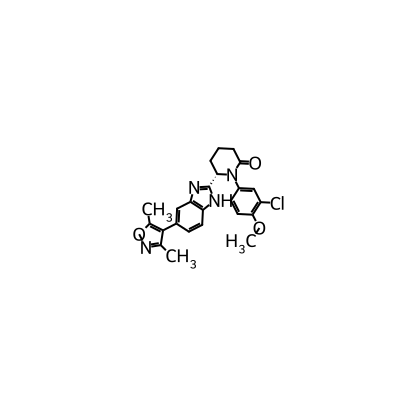 COc1ccc(N2C(=O)CCC[C@H]2c2nc3cc(-c4c(C)noc4C)ccc3[nH]2)cc1Cl